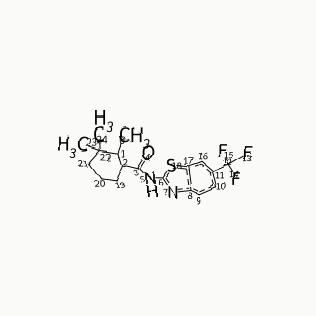 CC1C(C(=O)Nc2nc3ccc(C(F)(F)F)cc3s2)CCCC1(C)C